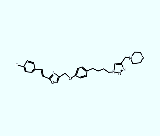 Fc1ccc(/C=C/c2nc(COc3ccc(CCCCn4cc(CN5CCSCC5)nn4)cc3)co2)cc1